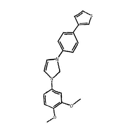 COc1ccc(N2C=CN(c3ccc(-c4ccsc4)cc3)C2)cc1OC